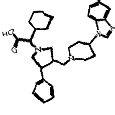 O=C(O)C(C1CCCCC1)N1CC(CN2CCC(n3cnc4ccccc43)CC2)C(c2ccccc2)C1